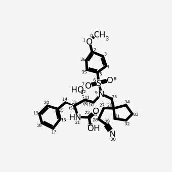 COc1ccc(S(=O)(=O)N(C[C@@H](O)[C@H](Cc2ccccc2)NC(=O)O)CC2(CCC#N)CCCC2)cc1